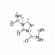 CC(C)N(C(=O)n1ncn(C(N)=O)c1=O)C(C)C